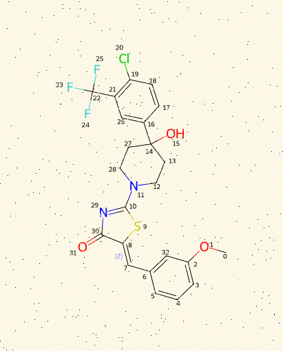 COc1cccc(/C=C2\SC(N3CCC(O)(c4ccc(Cl)c(C(F)(F)F)c4)CC3)=NC2=O)c1